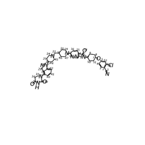 N#Cc1ccc(OC2CCC(NC(=O)c3ccc(N4CCC(CN5CCC(n6ncc7c(N8CCC(=O)NC8=O)cccc76)CC5)CC4)nn3)CC2)cc1Cl